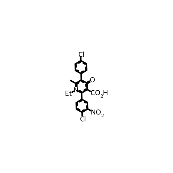 CCn1c(C)c(-c2ccc(Cl)cc2)c(=O)c(C(=O)O)c1-c1ccc(Cl)c([N+](=O)[O-])c1